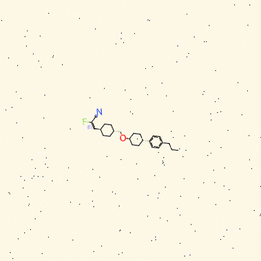 CCCc1ccc([C@H]2CC[C@H](OC[C@H]3CC[C@H](/C=C(/F)C#N)CC3)CC2)cc1